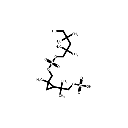 CC(C)(CO)CC(C)(C)COS(=O)(=O)OCC1(C)CC1C(C)(C)COS(=O)(=O)O